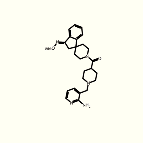 CO/N=C1\CC2(CCN(C(=O)C3CCN(Cc4cccnc4N)CC3)CC2)c2ccccc21